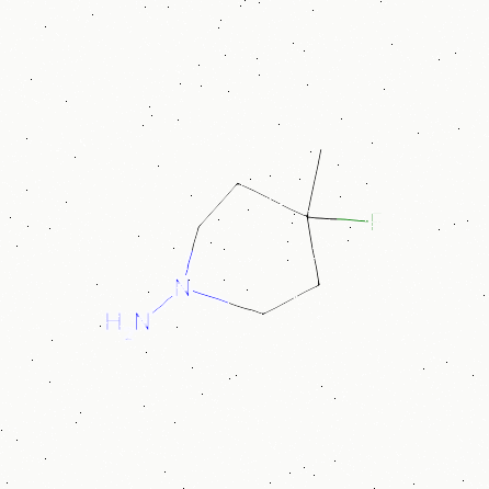 CC1(F)CCN(N)CC1